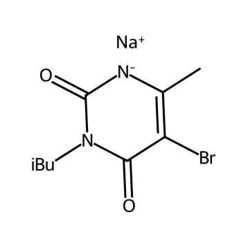 CCC(C)n1c(=O)[n-]c(C)c(Br)c1=O.[Na+]